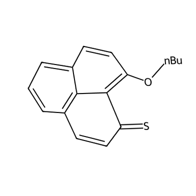 CCCCOc1ccc2cccc3c2c1C(=S)C=C3